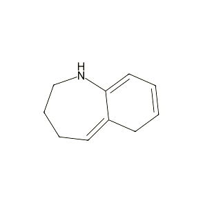 C1=CCC2=CCCCNC2=C1